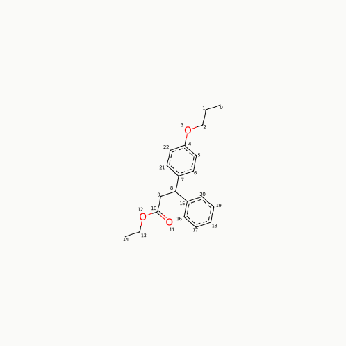 CCCOc1ccc(C(CC(=O)OCC)c2ccccc2)cc1